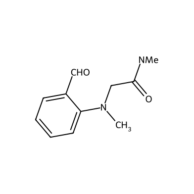 CNC(=O)CN(C)c1ccccc1C=O